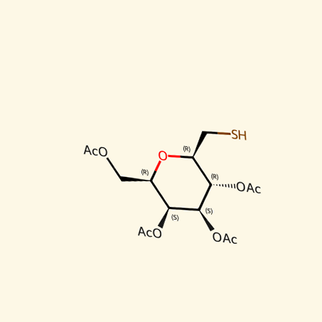 CC(=O)OC[C@H]1O[C@@H](CS)[C@H](OC(C)=O)[C@@H](OC(C)=O)[C@H]1OC(C)=O